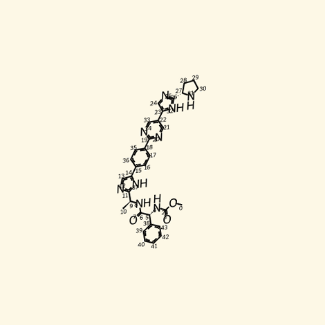 COC(=O)N[C@@H](C(=O)N[C@@H](C)c1ncc(-c2ccc(-c3ncc(-c4cnc([C@@H]5CCCN5)[nH]4)cn3)cc2)[nH]1)c1ccccc1